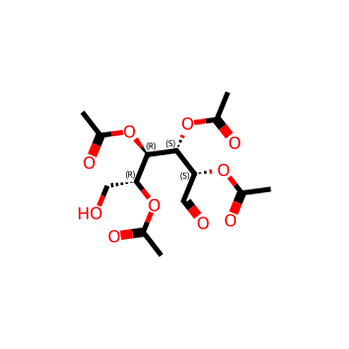 CC(=O)O[C@@H]([C@H](OC(C)=O)[C@@H](CO)OC(C)=O)[C@@H](C=O)OC(C)=O